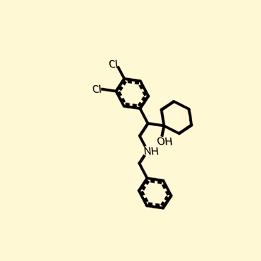 OC1(C(CNCc2ccccc2)c2ccc(Cl)c(Cl)c2)CCCCC1